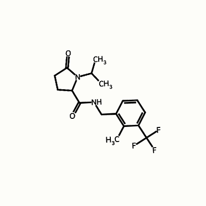 Cc1c(CNC(=O)C2CCC(=O)N2C(C)C)cccc1C(F)(F)F